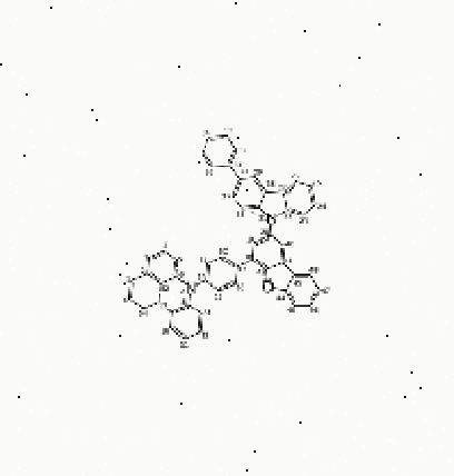 C1=Cc2cccc(N(c3ccccc3)c3ccc(-c4cc(-n5c6ccccc6c6cc(-c7ccccc7)ccc65)cc5c4oc4ccccc45)cc3)c2CC1